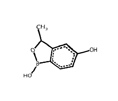 CC1OB(O)c2ccc(O)cc21